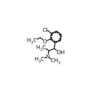 CCOc1c(Cl)cccc1C(O)C(C)N(C)C